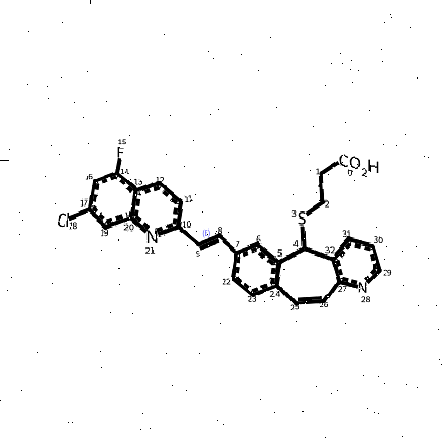 O=C(O)CCSC1c2cc(/C=C/c3ccc4c(F)cc(Cl)cc4n3)ccc2C=Cc2ncccc21